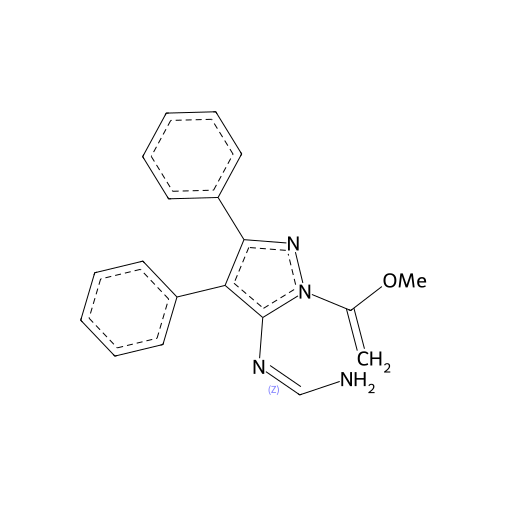 C=C(OC)n1nc(-c2ccccc2)c(-c2ccccc2)c1/N=C\N